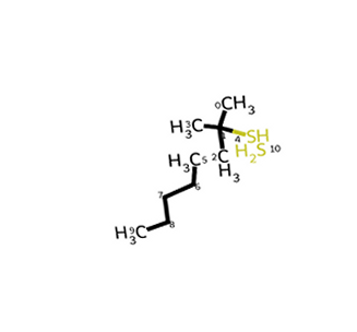 CC(C)(C)S.CCCCC.S